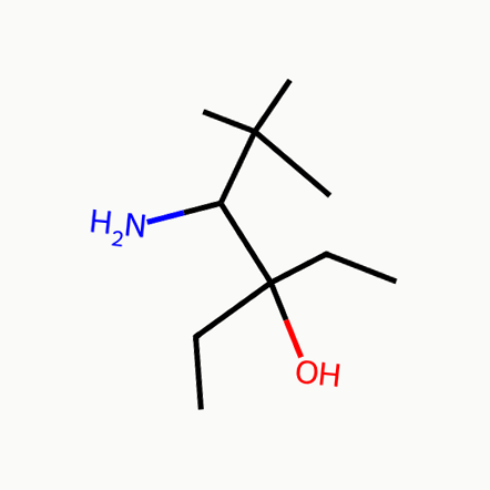 CCC(O)(CC)C(N)C(C)(C)C